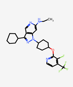 CCNc1cc2c(cn1)c(C1CCCCC1)nn2C1CCC(Oc2nccc(C(F)(F)F)c2F)CC1